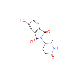 CC1NC(=O)CCC1N1C(=O)c2ccc(O)cc2C1=O